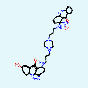 O=c1c2cc(O)ccc2n2nnc3ccc(NCCCN4CCN(CCCNC5([N+](=O)[O-])C=CC=C6Nc7ccccc7C=C65)CC4)c1c32